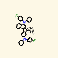 CC1(C)c2cc(N(c3ccccc3)c3ccc(F)cc3)ccc2-c2c1cc(N(c1ccccc1)c1ccc(F)cc1)c1ccccc21